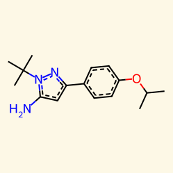 CC(C)Oc1ccc(-c2cc(N)n(C(C)(C)C)n2)cc1